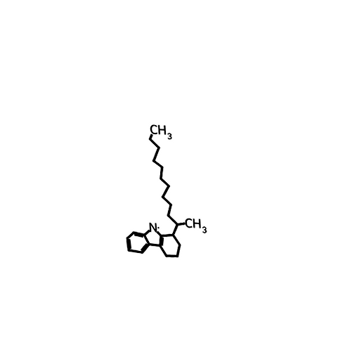 CCCCCCCCCCC(C)C1CCCC2=C1[N]c1ccccc12